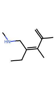 C=C(C)/C(C)=C(/CC)CNC